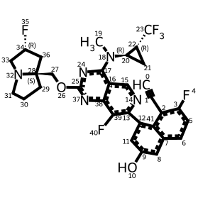 C#Cc1c(F)ccc2cc(O)cc(-c3ncc4c(N(C)[C@@H]5C[C@H]5C(F)(F)F)nc(OC[C@@]56CCCN5C[C@H](F)C6)nc4c3F)c12